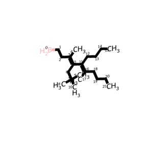 BCC/C(C)=C(CC(C)(C)C)/C(CCCC)=C(\C)CCCC